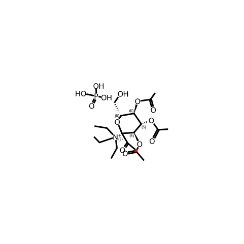 CC[N+](CC)(CC)[C@]1(C(C)=O)O[C@H](CO)[C@@H](OC(C)=O)[C@H](OC(C)=O)[C@H]1OC(C)=O.O=P(O)(O)O